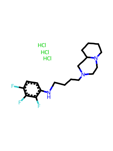 Cl.Cl.Cl.Fc1ccc(NCCCCN2CCN3CCCCC3C2)c(F)c1F